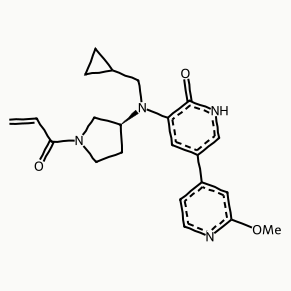 C=CC(=O)N1CC[C@H](N(CC2CC2)c2cc(-c3ccnc(OC)c3)c[nH]c2=O)C1